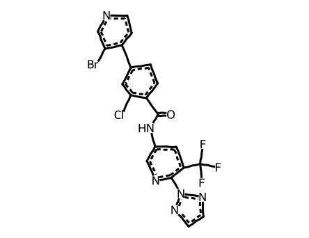 O=C(Nc1cnc(-n2nccn2)c(C(F)(F)F)c1)c1ccc(-c2ccncc2Br)cc1Cl